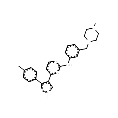 CN1CCN(Cc2cccc(Nc3nccc(-c4c[nH]nc4-c4ccc(Cl)cc4)n3)c2)CC1